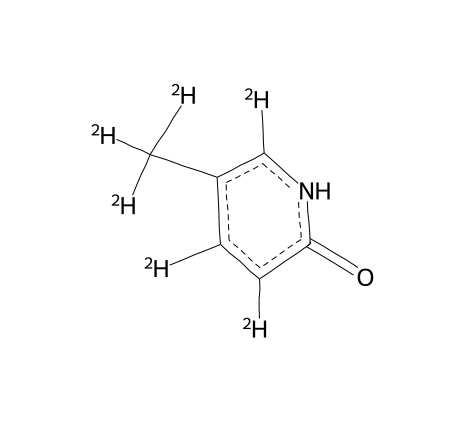 [2H]c1[nH]c(=O)c([2H])c([2H])c1C([2H])([2H])[2H]